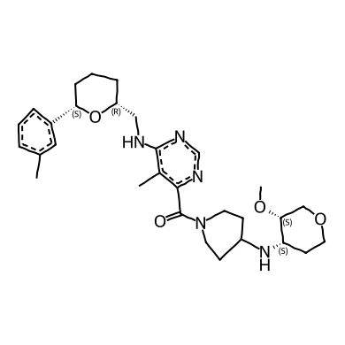 CO[C@@H]1COCC[C@@H]1NC1CCN(C(=O)c2ncnc(NC[C@H]3CCC[C@@H](c4cccc(C)c4)O3)c2C)CC1